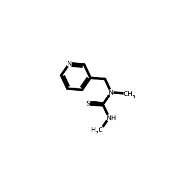 CNC(=S)N(C)Cc1cccnc1